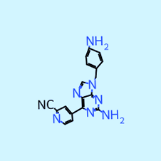 N#Cc1cc(-c2nc(N)nc3c2ncn3Cc2ccc(N)cc2)ccn1